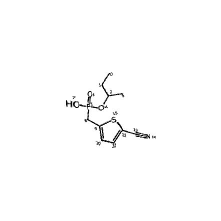 CCC(C)OP(=O)(O)Cc1ccc(C#N)s1